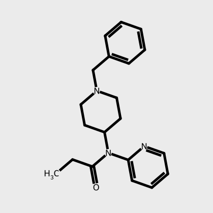 CCC(=O)N(c1ccccn1)C1CCN(Cc2ccccc2)CC1